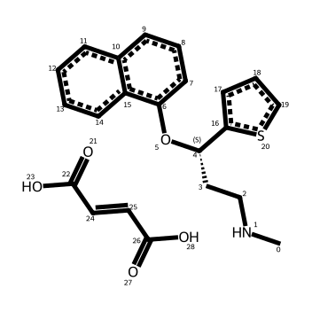 CNCC[C@H](Oc1cccc2ccccc12)c1cccs1.O=C(O)C=CC(=O)O